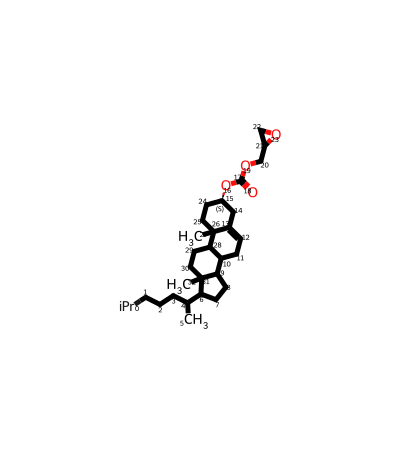 CC(C)CCCC(C)C1CCC2C3CC=C4C[C@@H](OC(=O)OCC5CO5)CCC4(C)C3CCC12C